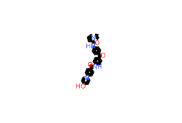 CC(C)n1cccc1C(=O)Nc1ccc(C(=O)c2ccc(NC(=O)c3ccc(N4CCC(O)CC4)cc3)cc2)cc1